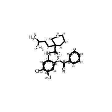 CC(C)CCC1(C(=O)Nc2cc(Cl)c(Cl)cc2SC(=O)c2ccccc2)CCCCC1